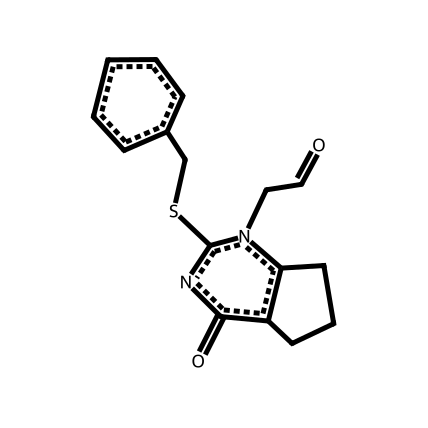 O=CCn1c(SCc2ccccc2)nc(=O)c2c1CCC2